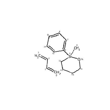 C=CC=C.C[Si]1(c2ccccc2)CCCCO1